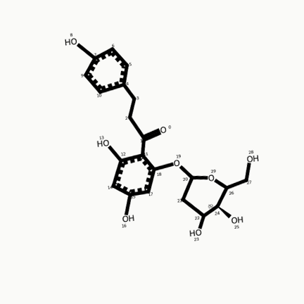 O=C(CCc1ccc(O)cc1)c1c(O)cc(O)cc1OC1CC(O)[C@H](O)C(CO)O1